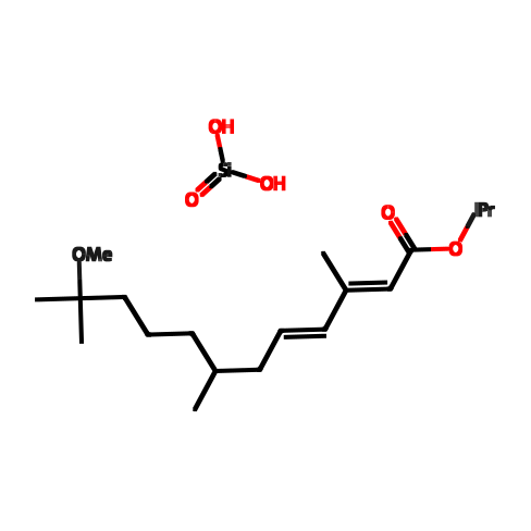 COC(C)(C)CCCC(C)C/C=C/C(C)=C/C(=O)OC(C)C.O=[Si](O)O